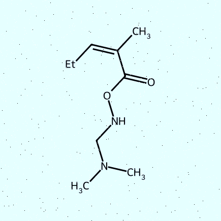 CCC=C(C)C(=O)ONCN(C)C